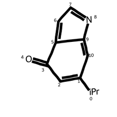 CC(C)C1=CC(=O)C2=CC=NC2=C1